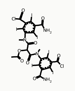 CC(=O)OC(C(=O)N(C)c1c(I)c(C(N)=O)c(I)c(C(=O)Cl)c1I)C(=O)N(C)c1c(I)c(C(N)=O)c(I)c(C(=O)Cl)c1I